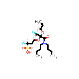 C=CC(=O)OC(OCCC(F)(F)S(=O)(=O)O)(C(=O)N(CCCC)CCCC)C(F)(F)F